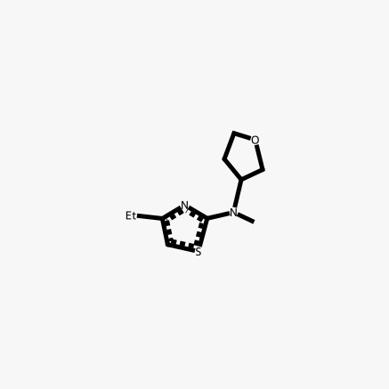 CCc1csc(N(C)C2CCOC2)n1